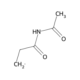 [CH2]CC(=O)NC(C)=O